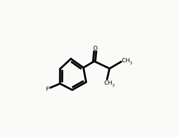 C[C](C)C(=O)c1ccc(F)cc1